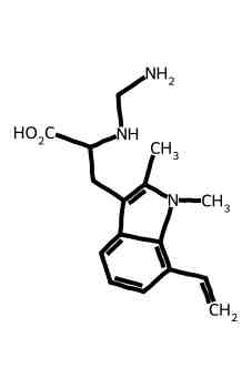 C=Cc1cccc2c(CC(NCN)C(=O)O)c(C)n(C)c12